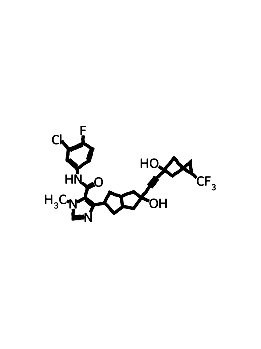 Cn1cnc(C2CC3CC(O)(C#CC4(O)CC5(CC5C(F)(F)F)C4)CC3C2)c1C(=O)Nc1ccc(F)c(Cl)c1